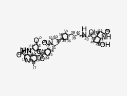 COc1cccc(Nc2c(C(N)=O)cnc3c(C)cc(S(=O)(=O)c4cccc(C(=O)N5CCC(c6ccc(CCCCNC[C@H](O)c7ccc(O)c8[nH]c(=O)ccc78)cc6)CC5)c4)cc23)c1